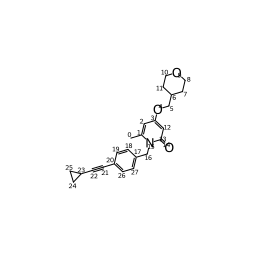 Cc1cc(OCC2CCOCC2)cc(=O)n1Cc1ccc(C#CC2CC2)cc1